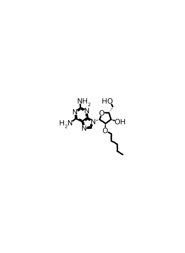 CCCCCO[C@@H]1[C@H](O)[C@@H](CO)O[C@H]1n1cnc2c(N)nc(N)nc21